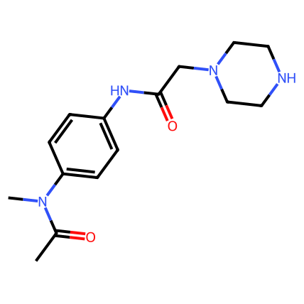 CC(=O)N(C)c1ccc(NC(=O)CN2CCNCC2)cc1